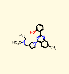 Cc1ccc2c(N3CC[C@H](CN(CC(C)(C)C)C(=O)O)C3)nc(-c3ccccc3O)nc2c1